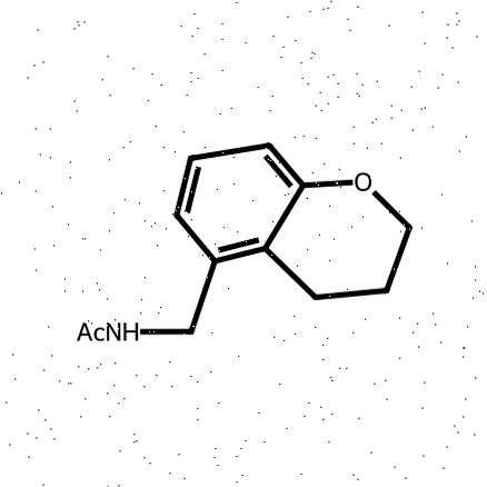 CC(=O)NCc1cccc2c1CCCO2